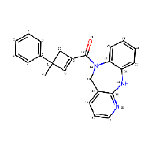 CC1(c2ccccc2)C=C(C(=O)N2Cc3cccnc3Nc3ccccc32)C1